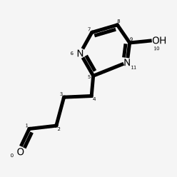 O=CCCCc1nccc(O)n1